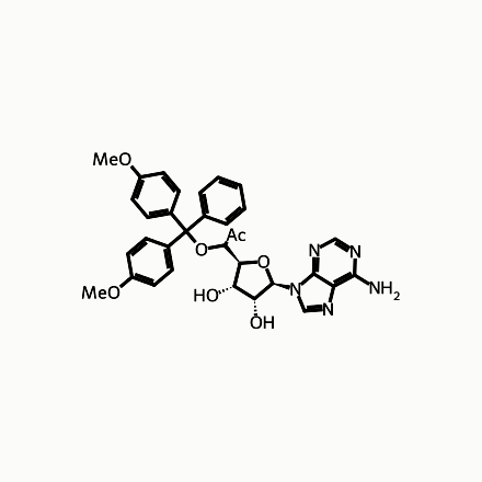 COc1ccc(C(OC(C(C)=O)[C@H]2O[C@@H](n3cnc4c(N)ncnc43)[C@H](O)[C@@H]2O)(c2ccccc2)c2ccc(OC)cc2)cc1